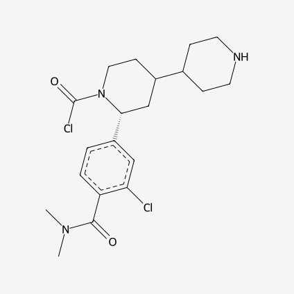 CN(C)C(=O)c1ccc([C@H]2CC(C3CCNCC3)CCN2C(=O)Cl)cc1Cl